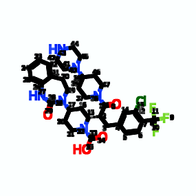 O=C(C(Cc1ccc(C(F)(F)F)c(Cl)c1)[C@H]1CC(N2CCc3ccccc3NC2=O)CCN1C(=O)O)N1CCC(N2CCNCC2)CC1